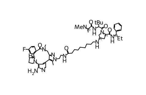 CC[C@H](NC(=O)[C@H]1C[C@@H](NCCCCCCCCC(=O)NCCn2nc3c(c2C)-c2cnc(N)c(c2)N2CCC[C@@H]2c2cc(F)ccc2C(=O)N(C)C3)CN1C(=O)C(NC(=O)[C@@H](C)NC)C(C)(C)C)c1ccccc1